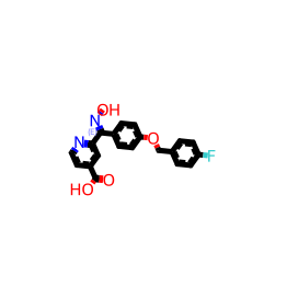 O=C(O)c1ccnc(/C(=N/O)c2ccc(OCc3ccc(F)cc3)cc2)c1